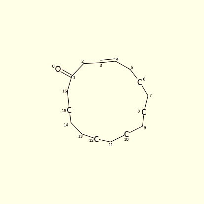 O=C1CC=CCCCCCCCCCCCC1